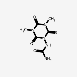 Cn1c(=O)n(C)c(=S)n(NC(N)=O)c1=O